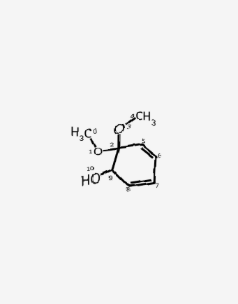 COC1(OC)C=CC=CC1O